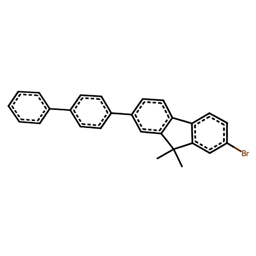 CC1(C)c2cc(Br)ccc2-c2ccc(-c3ccc(-c4ccccc4)cc3)cc21